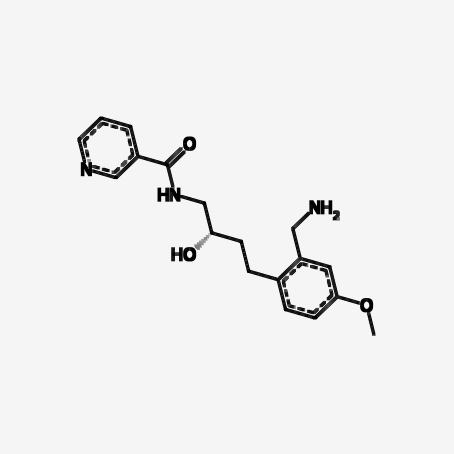 COc1ccc(CC[C@H](O)CNC(=O)c2cccnc2)c(CN)c1